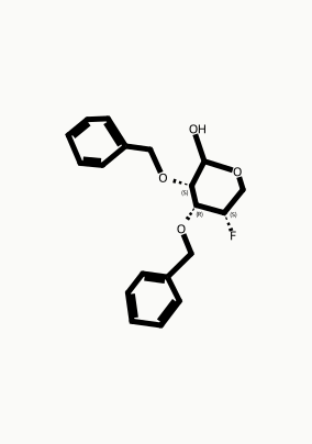 OC1OC[C@H](F)[C@H](OCc2ccccc2)[C@@H]1OCc1ccccc1